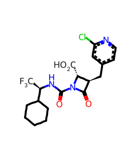 O=C(O)[C@@H]1[C@@H](Cc2ccnc(Cl)c2)C(=O)N1C(=O)N[C@@H](C1CCCCC1)C(F)(F)F